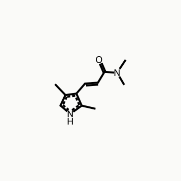 Cc1c[nH]c(C)c1C=CC(=O)N(C)C